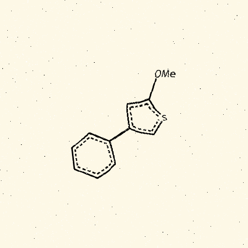 COc1cc(-c2ccccc2)cs1